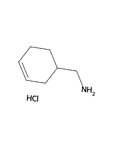 Cl.NCC1CC=CCC1